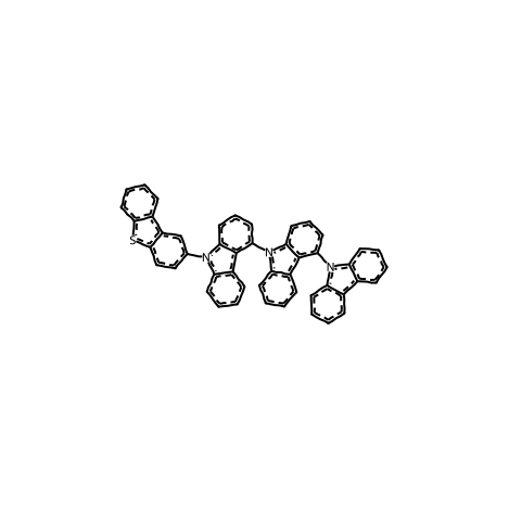 c1ccc2c(c1)sc1ccc(-n3c4ccccc4c4c(-n5c6ccccc6c6c(-n7c8ccccc8c8ccccc87)cccc65)cccc43)cc12